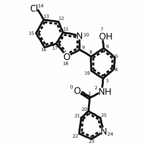 O=C(Nc1ccc(O)c(-c2nc3cc(Cl)ccc3o2)c1)c1cccnc1